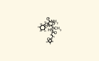 C[C@H](NC(=O)C=Cc1ccco1)C(=O)N[C@@H](Cc1ccccc1)C(N)=O